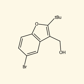 CC(C)(C)c1oc2ccc(Br)cc2c1CO